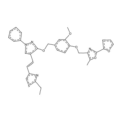 CCc1nc(C=Cc2cn(-c3ccccc3)nc2OCc2ccc(OCc3nc(-c4ccco4)oc3C)c(OC)c2)cs1